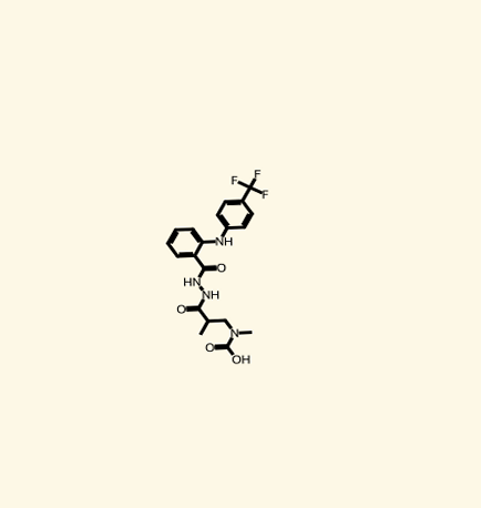 CC(CN(C)C(=O)O)C(=O)NNC(=O)c1ccccc1Nc1ccc(C(F)(F)F)cc1